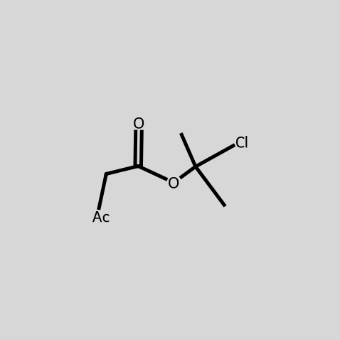 CC(=O)CC(=O)OC(C)(C)Cl